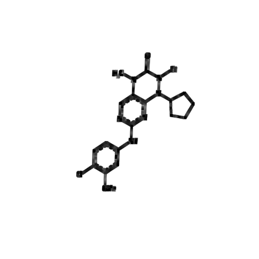 CCN1C(=O)N(C)c2cnc(Nc3ccc(Cl)c(OC)c3)nc2N1C1CCCC1